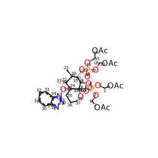 CC(=O)OCOP(=O)(OCOC(C)=O)O[C@@H]1[C@@H](OP(=O)(OCOC(C)=O)OCOC(C)=O)[C@H](C)[C@@H](C)[C@]2(On3nnc4ccccc43)CCCO[C@@H]12